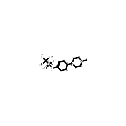 CN1CCN(C2CC=C(OS(=O)(=O)C(F)(F)F)CC2)CC1